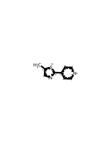 Cc1[c]nc(-c2ccncc2)s1